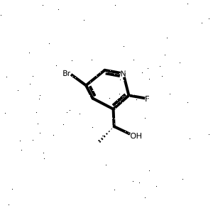 C[C@@H](O)c1cc(Br)cnc1F